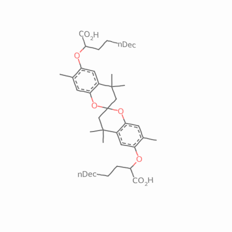 CCCCCCCCCCCCC(Oc1cc2c(cc1C)OC1(CC2(C)C)CC(C)(C)c2cc(OC(CCCCCCCCCCCC)C(=O)O)c(C)cc2O1)C(=O)O